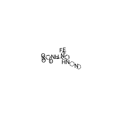 COc1cc(S(C)(=O)=O)ccc1NCC#Cc1cc2c(N[C@H]3CC[C@@H](N4CCCCC4)CC3)cccc2n1CC(F)(F)F